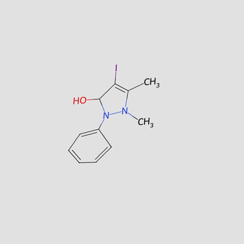 CC1=C(I)C(O)N(c2ccccc2)N1C